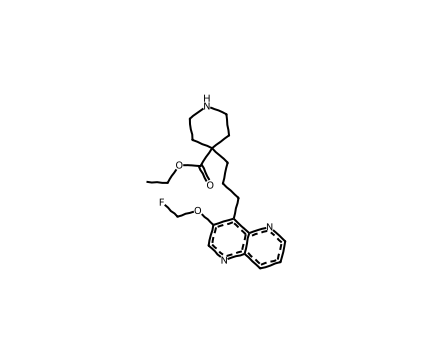 CCOC(=O)C1(CCCc2c(OCF)cnc3cccnc23)CCNCC1